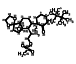 CC(C)(C)[Si](C)(C)O[C@H]1CC[C@](C)(C2CC[C@@]3(C)C(CCC34OCCO4)[C@@H]2CCOS(C)(=O)=O)C(=O)C1